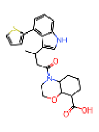 CC(CC(=O)N1CCOC2C(C(=O)O)CCCC21)c1c[nH]c2cccc(-c3cccs3)c12